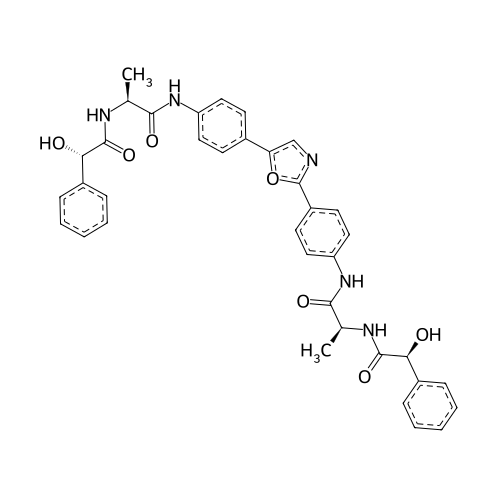 C[C@H](NC(=O)[C@@H](O)c1ccccc1)C(=O)Nc1ccc(-c2cnc(-c3ccc(NC(=O)[C@H](C)NC(=O)[C@@H](O)c4ccccc4)cc3)o2)cc1